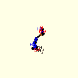 CC(=O)c1c(C)c2cnc(Nc3ccc(N4CCN(CCCCCCSc5cccc6c5C(=O)N(C5CCC(=O)NC5=O)C6=O)CC4)cn3)nc2n(C2CCCC2)c1=O